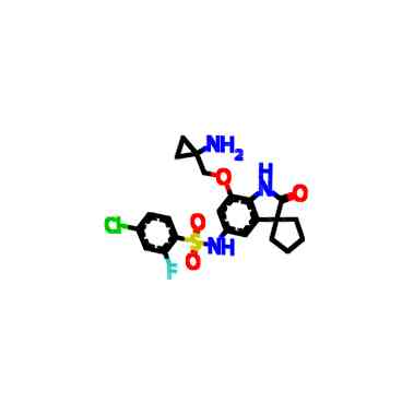 NC1(COc2cc(NS(=O)(=O)c3ccc(Cl)cc3F)cc3c2NC(=O)C32CCCC2)CC1